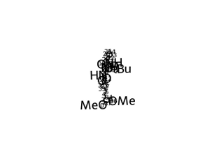 COc1cc(C=Cc2ccc(OC(=O)NCCNC(=O)C(Cc3ccccc3)NC(=O)OC(C)(C)C)cc2)cc(OC)c1